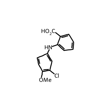 COc1ccc(Nc2ccccc2C(=O)O)cc1Cl